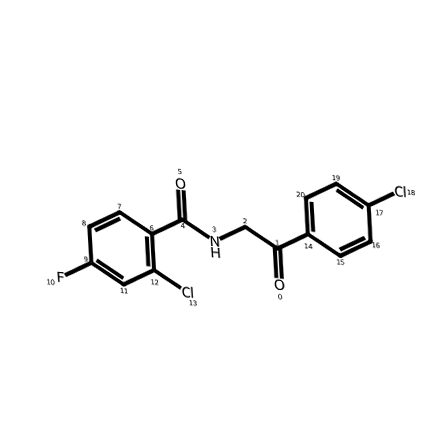 O=C(CNC(=O)c1ccc(F)cc1Cl)c1ccc(Cl)cc1